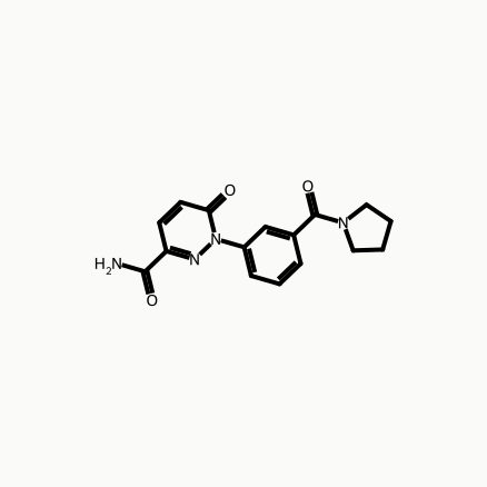 NC(=O)c1ccc(=O)n(-c2cccc(C(=O)N3CCCC3)c2)n1